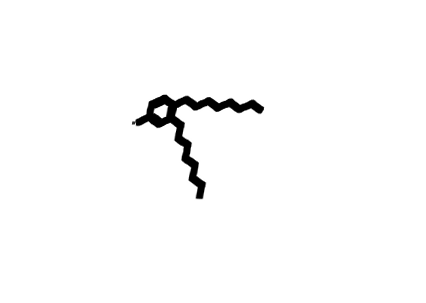 [CH2]c1ccc(CCCCCCCC)c(CCCCCCCC)c1